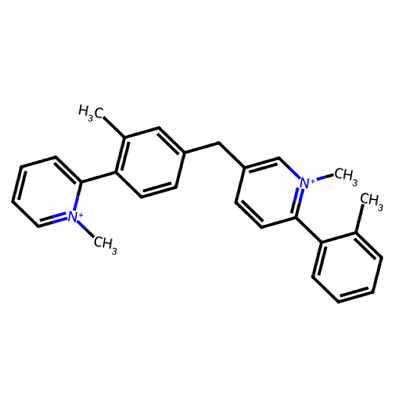 Cc1cc(Cc2ccc(-c3ccccc3C)[n+](C)c2)ccc1-c1cccc[n+]1C